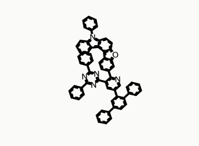 c1ccc(-c2ccc(-c3ccccc3)c(-c3cnc(-c4ccc5c(c4)oc4ccc6c(c7ccccc7n6-c6ccccc6)c45)c(-c4nc(-c5ccccc5)nc(-c5ccccc5)n4)c3)c2)cc1